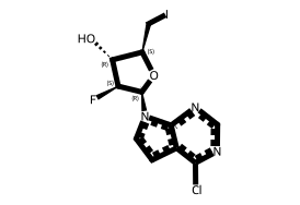 O[C@H]1[C@H](F)[C@H](n2ccc3c(Cl)ncnc32)O[C@@H]1CI